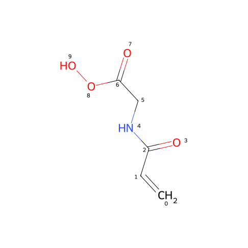 C=CC(=O)NCC(=O)OO